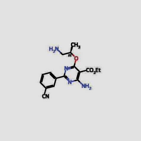 CCOC(=O)c1c(N)nc(-c2cccc(C#N)c2)nc1O[C@H](C)CN